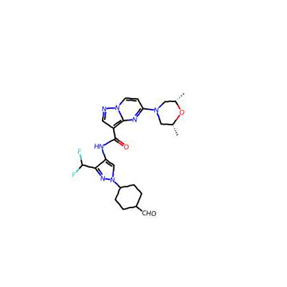 C[C@@H]1CN(c2ccn3ncc(C(=O)Nc4cn(C5CCC(C=O)CC5)nc4C(F)F)c3n2)C[C@H](C)O1